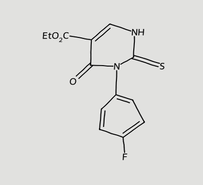 CCOC(=O)c1c[nH]c(=S)n(-c2ccc(F)cc2)c1=O